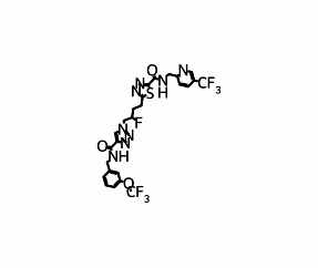 O=C(NCc1cccc(OC(F)(F)F)c1)c1cn(CC(F)CCc2nnc(C(=O)NCc3ccc(C(F)(F)F)cn3)s2)nn1